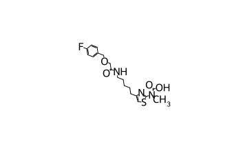 CN(C(=O)O)c1nc(CCCCCNC(=O)COCc2ccc(F)cc2)cs1